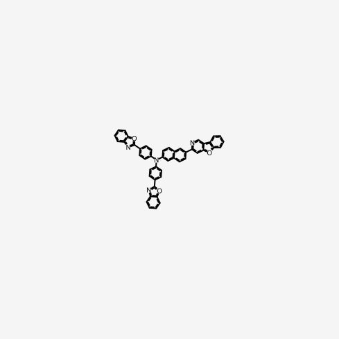 c1ccc2oc(-c3ccc(N(c4ccc(-c5nc6ccccc6o5)cc4)c4ccc5cc(-c6cc7oc8ccccc8c7cn6)ccc5c4)cc3)nc2c1